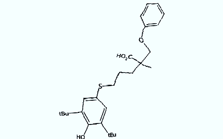 CC(CCCSc1cc(C(C)(C)C)c(O)c(C(C)(C)C)c1)(COc1ccccc1)C(=O)O